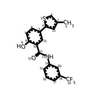 Cc1csc(-c2ccc(O)c(C(=O)Nc3cccc(C(F)(F)F)c3)c2)c1